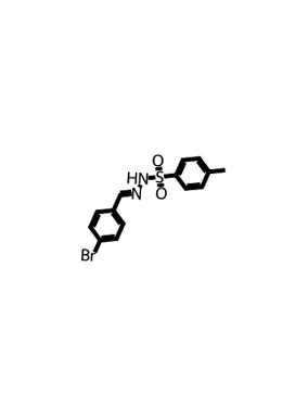 Cc1ccc(S(=O)(=O)N/N=C/c2ccc(Br)cc2)cc1